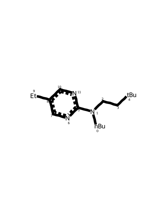 CCCCN(CCC(C)(C)C)c1ncc(CC)cn1